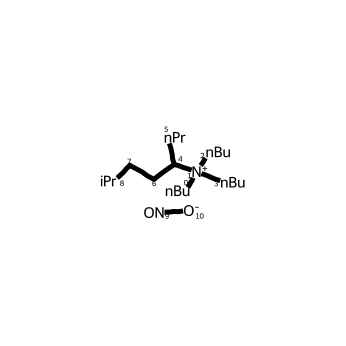 CCCC[N+](CCCC)(CCCC)C(CCC)CCC(C)C.O=N[O-]